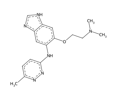 Cc1ccc(Nc2cc3nc[nH]c3cc2OCCN(C)C)nn1